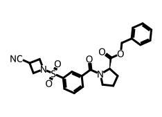 N#CC1CN(S(=O)(=O)c2cccc(C(=O)N3CCC[C@@H]3C(=O)OCc3ccccc3)c2)C1